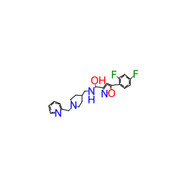 OC(NCC1CCN(Cc2ccccn2)CC1)c1cc(-c2ccc(F)cc2F)on1